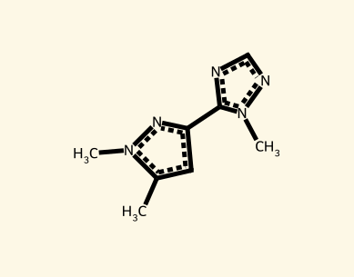 Cc1cc(-c2ncnn2C)nn1C